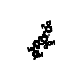 Cc1cc(Nc2ccc(F)c(CC3(C(=O)O)CCN(Cc4cccc(Cl)c4F)[C@H](C)C3)n2)n[nH]1